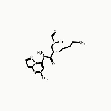 CCCCC[C@@H](CN(O)C=O)C(=O)N(N)c1cc(C)nc2ncnn12